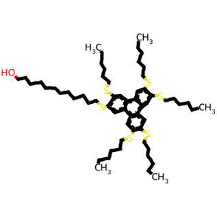 CCCCCCSc1cc2c3cc(SCCCCCC)c(SCCCCCC)cc3c3cc(SCCCCCCCCCCCCO)c(SCCCCCC)cc3c2cc1SCCCCCC